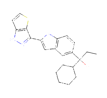 CCC(O)(c1ccc2[nH]c(-c3n[nH]c4ccsc34)cc2c1)C1CCCCC1